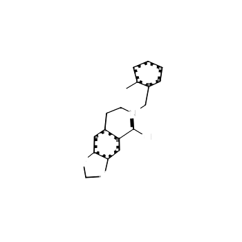 CC1=[N+](Cc2ccccc2F)CCc2cc3c(cc21)OCO3